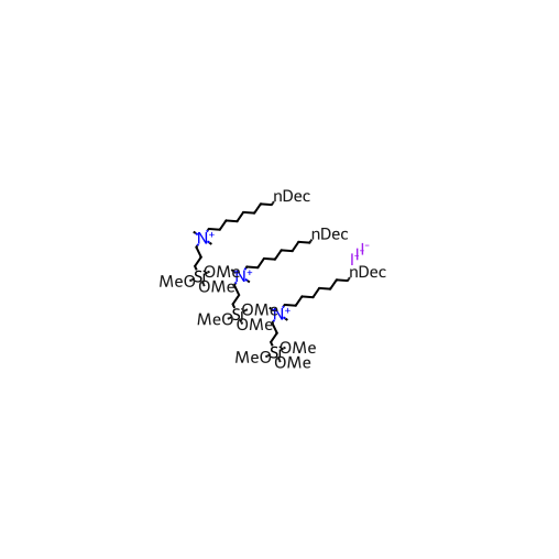 CCCCCCCCCCCCCCCCCC[N+](C)(C)CCC[Si](OC)(OC)OC.CCCCCCCCCCCCCCCCCC[N+](C)(C)CCC[Si](OC)(OC)OC.CCCCCCCCCCCCCCCCCC[N+](C)(C)CCC[Si](OC)(OC)OC.[I-].[I-].[I-]